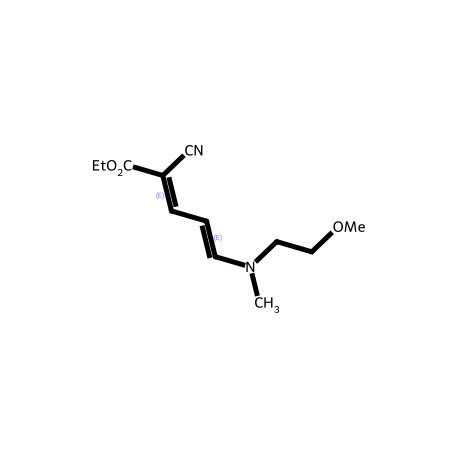 CCOC(=O)/C(C#N)=C/C=C/N(C)CCOC